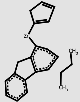 C1=CC[C]([Zr][c]2cccc3c2Cc2ccccc2-3)=C1.CCCC